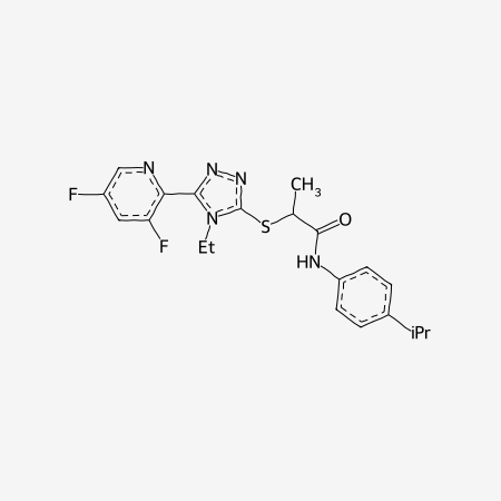 CCn1c(SC(C)C(=O)Nc2ccc(C(C)C)cc2)nnc1-c1ncc(F)cc1F